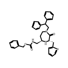 O=C(NC[C@H]1CCN(CC(c2ccccc2)c2ccccc2)C(=O)[C@H](Cc2ccccn2)N1)OCc1ccccc1